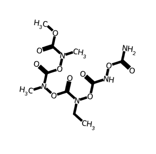 CCN(OC(=O)NOC(N)=O)C(=O)ON(C)C(=O)ON(C)C(=O)OC